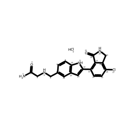 Cl.NC(=O)CNCc1ccc2[nH]c(-c3ccc(Cl)c4c3C(=O)NC4)cc2c1